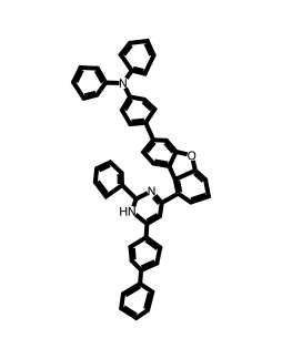 C1=C(c2ccc(-c3ccccc3)cc2)NC(c2ccccc2)N=C1c1cccc2oc3cc(-c4ccc(N(c5ccccc5)c5ccccc5)cc4)ccc3c12